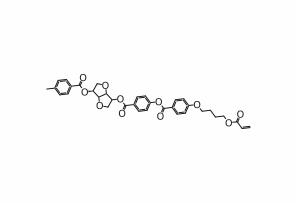 C=CC(=O)OCCCCOc1ccc(C(=O)Oc2ccc(C(=O)OC3COC4C3OC[C@@H]4OC(=O)c3ccc(C)cc3)cc2)cc1